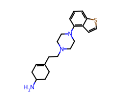 NC1CC=C(CCN2CCN(c3cccc4sccc34)CC2)CC1